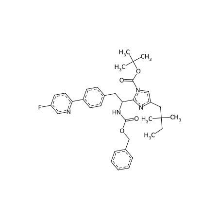 CCC(C)(C)Cc1cn(C(=O)OC(C)(C)C)c(C(Cc2ccc(-c3ccc(F)cn3)cc2)NC(=O)OCc2ccccc2)n1